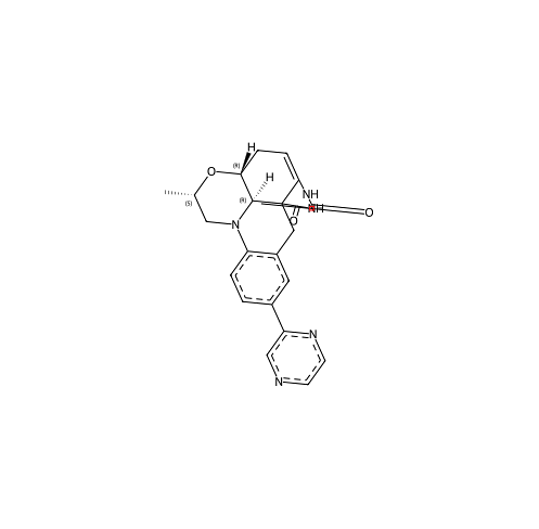 C[C@H]1CN2c3ccc(-c4cnccn4)cc3CC34C(=O)NC(=O)NC3=CC[C@@H](O1)[C@H]24